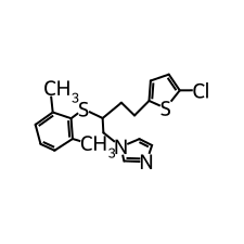 Cc1cccc(C)c1SC(CCc1ccc(Cl)s1)Cn1ccnc1